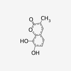 Cc1cc2ccc(O)c(O)c2oc1=O